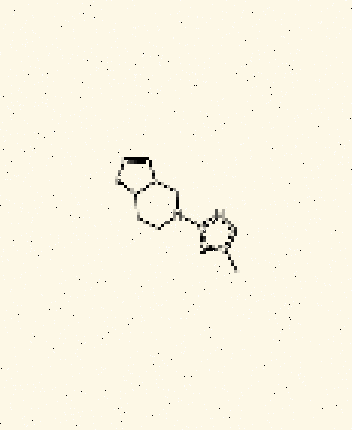 Cc1cnc(N2CCC3S[C]=CC3C2)s1